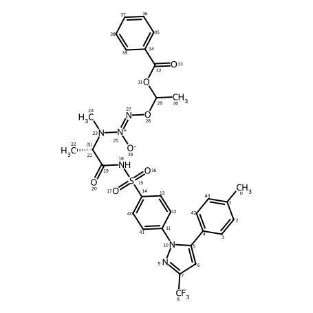 Cc1ccc(-c2cc(C(F)(F)F)nn2-c2ccc(S(=O)(=O)NC(=O)[C@H](C)N(C)[N+]([O-])=NOC(C)OC(=O)c3ccccc3)cc2)cc1